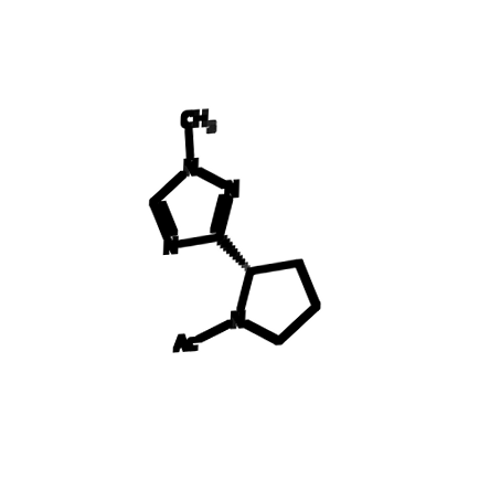 CC(=O)N1CCC[C@H]1c1ncn(C)n1